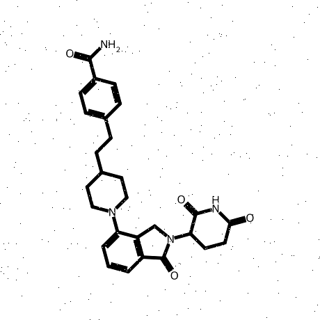 NC(=O)c1ccc(CCC2CCN(c3cccc4c3CN(C3CCC(=O)NC3=O)C4=O)CC2)cc1